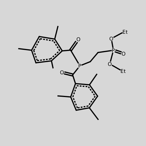 CCOP(=O)(CCP(C(=O)c1c(C)cc(C)cc1C)C(=O)c1c(C)cc(C)cc1C)OCC